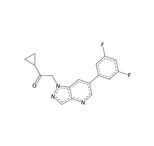 O=C(Cn1ncc2ncc(-c3cc(F)cc(F)c3)cc21)C1CC1